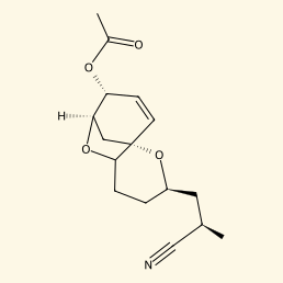 CC(=O)O[C@@H]1C=C[C@]23C[C@H]1OC2CC[C@H](C[C@@H](C)C#N)O3